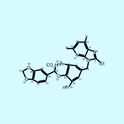 CCCc1cc(Cn2c(CC)nc3c(C)cc(C)nc32)cc(CCC)c1OC(C(=O)O)c1ccc2c(c1)OCO2